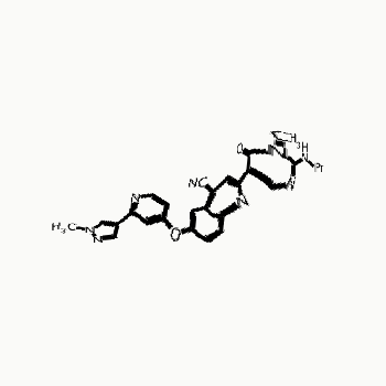 CC(C)Nc1ncc(-c2cc(C#N)c3cc(Oc4ccnc(-c5cnn(C)c5)c4)ccc3n2)c(=O)n1C